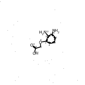 Nc1cccc(OCC(=O)O)c1N